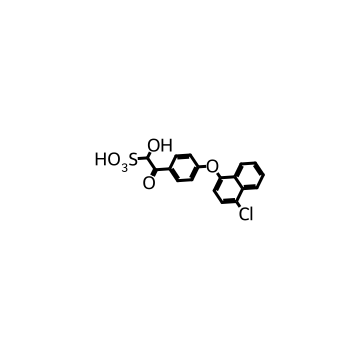 O=C(c1ccc(Oc2ccc(Cl)c3ccccc23)cc1)C(O)S(=O)(=O)O